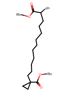 CCCC(CCCCCCCCCCC1(C(=O)OC(C)(C)C)CC1)C(=O)OC(C)(C)C